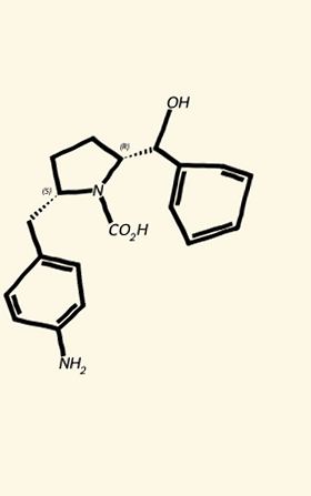 Nc1ccc(C[C@@H]2CC[C@H](C(O)c3ccccc3)N2C(=O)O)cc1